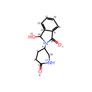 O=C1CCC(N2C(=O)c3ccccc3C2O)CN1